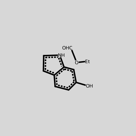 CCOC=O.Oc1ccc2cc[nH]c2c1